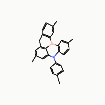 Cc1ccc(N2c3ccc(C)cc3B3c4cc(C)ccc4Cc4cc(C)cc2c43)cc1